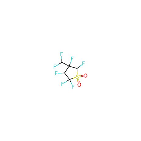 O=S1(=O)C(F)C(F)(C(F)F)C(F)C1(F)F